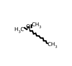 CCCCCCCCCCCC[N+]([O-])(CCC)CCC